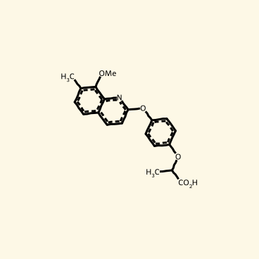 COc1c(C)ccc2ccc(Oc3ccc(OC(C)C(=O)O)cc3)nc12